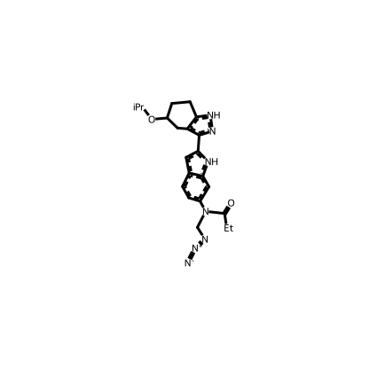 CCC(=O)N(CN=[N+]=[N-])c1ccc2cc(-c3n[nH]c4c3CC(OC(C)C)CC4)[nH]c2c1